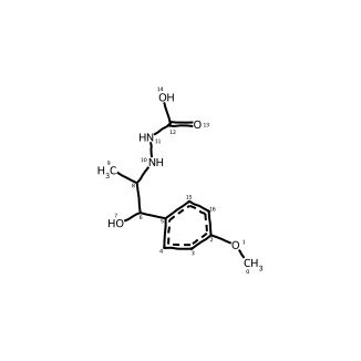 COc1ccc(C(O)C(C)NNC(=O)O)cc1